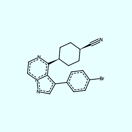 N#C[C@H]1CC[C@@H](c2nccn3ncc(-c4ccc(Br)cc4)c23)CC1